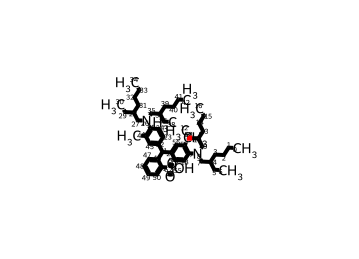 CCCCC(CC)CN(CC(CC)CCCC)c1ccc(C(c2ccc(N(CC(CC)CCCC)CC(CC)CCCC)c(C)c2)c2ccccc2S(=O)(=O)O)cc1C